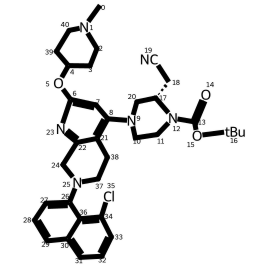 CN1CCC(Oc2cc(N3CCN(C(=O)OC(C)(C)C)[C@@H](CC#N)C3)c3c(n2)CN(c2cccc4cccc(Cl)c24)CC3)CC1